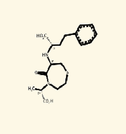 C[C@@H](C(=O)O)N1CCSC[C@H](N[C@@H](CCc2ccccc2)C(=O)O)C1=O